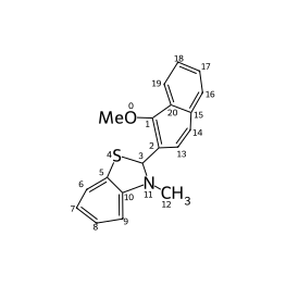 COc1c(C2Sc3ccccc3N2C)ccc2ccccc12